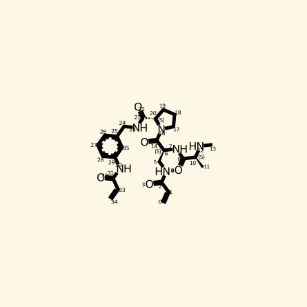 C=CC(=O)NC[C@H](NC(=O)[C@H](C)NC)C(=O)N1CCC[C@H]1C(=O)NCc1cccc(NC(=O)C=C)c1